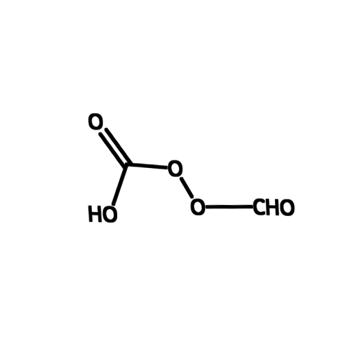 O=COOC(=O)O